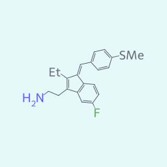 CCC1=C(CCN)c2cc(F)ccc2C1=Cc1ccc(SC)cc1